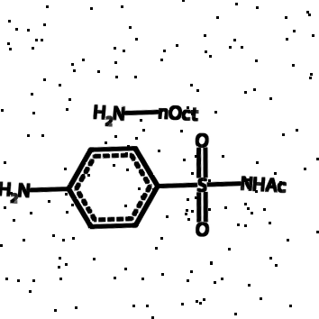 CC(=O)NS(=O)(=O)c1ccc(N)cc1.CCCCCCCCN